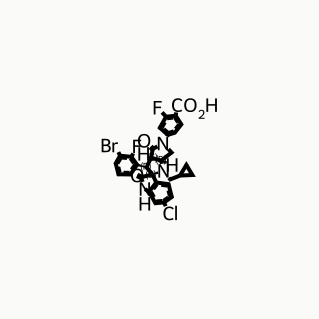 O=C(O)c1ccc(N2C[C@H]3[C@@H](C2=O)[C@H](c2cccc(Br)c2F)[C@]2(C(=O)Nc4cc(Cl)ccc42)N3CC2CC2)cc1F